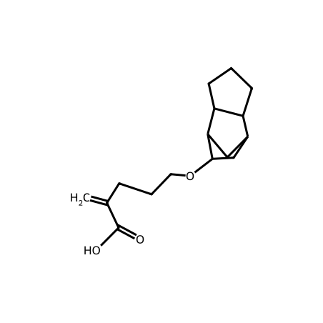 C=C(CCCOC1CC2CC1C1CCCC21)C(=O)O